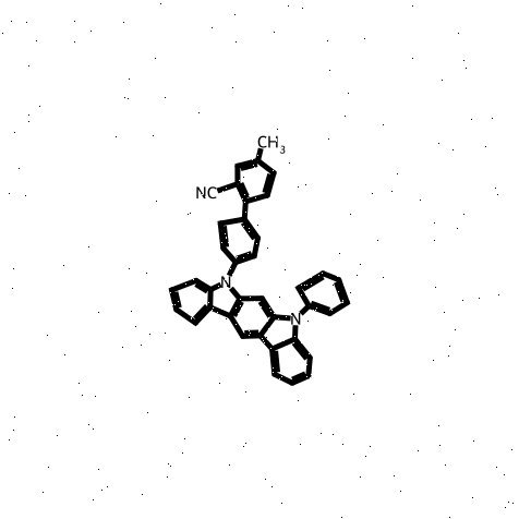 Cc1ccc(-c2ccc(-n3c4ccccc4c4cc5c6ccccc6n(-c6ccccc6)c5cc43)cc2)c(C#N)c1